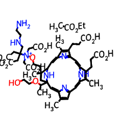 CC1=CC2=NC1=CC1(C(C)OCCO)CC(C)(CCO[N+](CC(=O)O)(CC(=O)O)C(CNCCN)(CC(=O)O)CC(=O)O)C(C=C3N=C(C=c4[nH]c(c(C)c4CCC(=O)O)=C2)C(CCC(=O)O)=C3C)N1.CCOC(C)=O